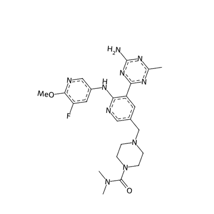 COc1ncc(Nc2ncc(CN3CCN(C(=O)N(C)C)CC3)cc2-c2nc(C)nc(N)n2)cc1F